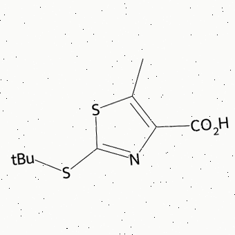 Cc1sc(SC(C)(C)C)nc1C(=O)O